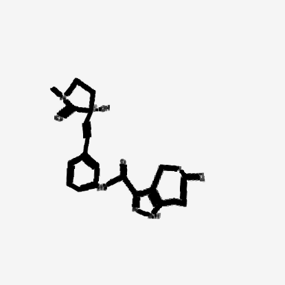 CN1CC[C@@](O)(C#Cc2cccc(NC(=O)c3n[nH]c4cc(Cl)ncc34)c2)C1=O